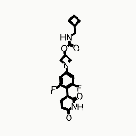 O=C1CCC(c2c(F)cc(N3CC(OC(=O)NCC4CCC4)C3)cc2F)C(=O)N1